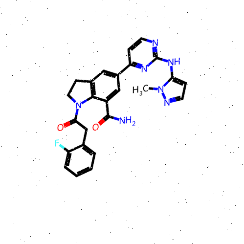 Cn1nccc1Nc1nccc(-c2cc3c(c(C(N)=O)c2)N(C(=O)Cc2ccccc2F)CC3)n1